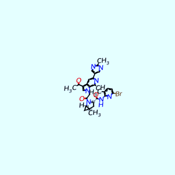 CC(=O)c1cn(CC(=O)N2[C@H](C(=O)Nc3nc(Br)ccc3C)C[C@@]3(C)C[C@@H]23)c2c(C)nc(-c3cnc(C)nc3)cc12